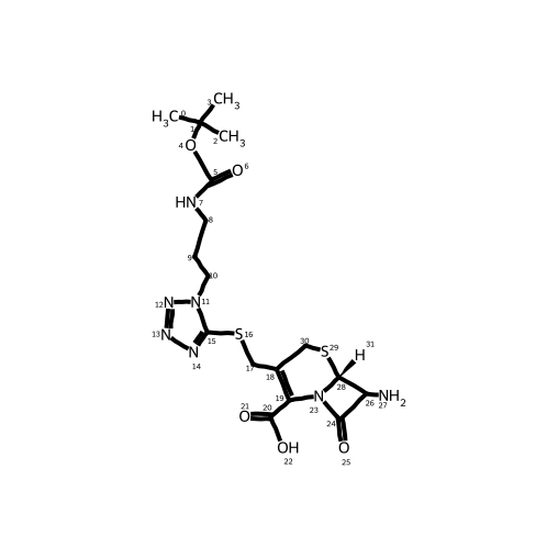 CC(C)(C)OC(=O)NCCCn1nnnc1SCC1=C(C(=O)O)N2C(=O)C(N)[C@H]2SC1